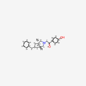 O=C(CN1C[C@H]2CC(Cc3ccccc3)C[C@H]2C1)c1ccc(O)cc1